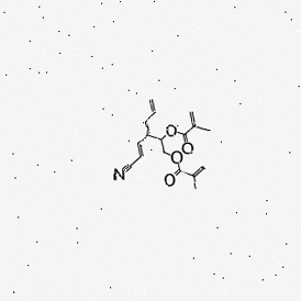 C=CC=C(C=CC#N)C(COC(=O)C(=C)C)OC(=O)C(=C)C